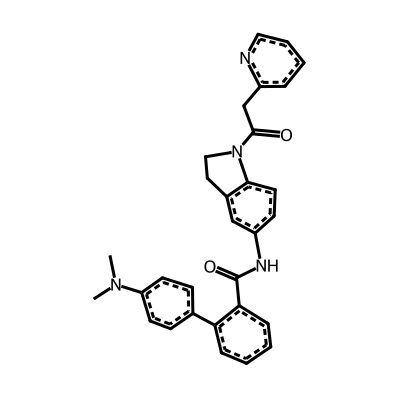 CN(C)c1ccc(-c2ccccc2C(=O)Nc2ccc3c(c2)CCN3C(=O)Cc2ccccn2)cc1